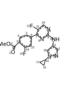 COC(=O)c1ccc(-c2nc(Nc3cnn(C4CC4)c3)ncc2F)cc1F